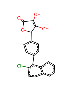 O=C1OC(c2ccc(-c3c(Cl)ccc4ccccc34)cc2)C(O)=C1O